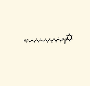 CCCCCCCCCCCCCC=CCONc1ccccc1